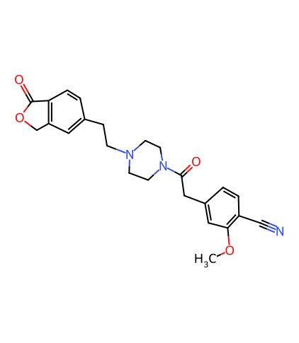 COc1cc(CC(=O)N2CCN(CCc3ccc4c(c3)COC4=O)CC2)ccc1C#N